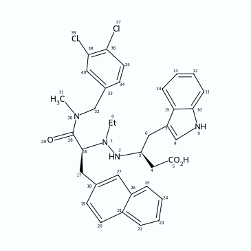 CCN(N[C@H](CC(=O)O)Cc1c[nH]c2ccccc12)[C@@H](Cc1ccc2ccccc2c1)C(=O)N(C)Cc1ccc(Cl)c(Cl)c1